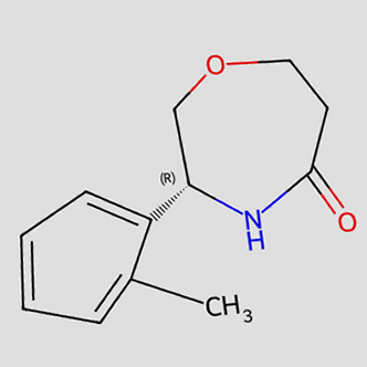 Cc1ccccc1[C@@H]1COCCC(=O)N1